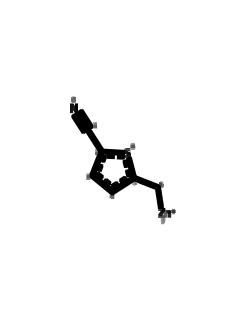 N#Cc1ccc([CH2][Zn+])s1